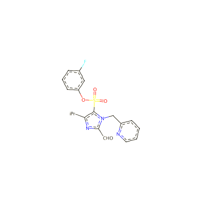 CC(C)c1nc(C=O)n(Cc2ccccn2)c1S(=O)(=O)Oc1cccc(F)c1